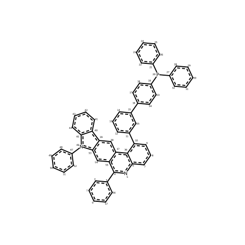 c1ccc(-c2nc3cccc(-c4cccc(-c5ccc(P(c6ccccc6)c6ccccc6)cc5)c4)c3c3cc4c5ccccc5n(-c5ccccc5)c4cc23)cc1